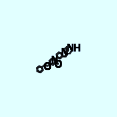 O=c1cc(OCc2ccccc2)ccn1-c1ccc2c(c1)cc1n2CCNCC1